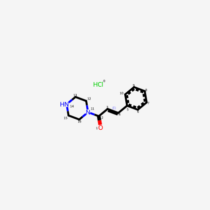 Cl.O=C(/C=C/c1ccccc1)N1CCNCC1